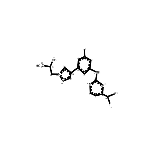 Cc1cc(Nc2nccc(C(F)F)n2)cc(-c2cnn(CC(O)C(=O)O)c2)c1